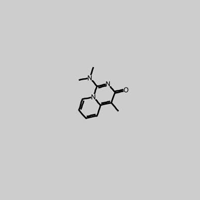 Cc1c(=O)nc(N(C)C)n2ccccc12